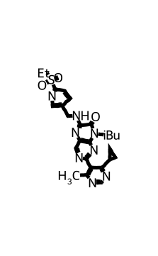 CCC(C)n1c(=O)c(NCc2ccc(S(=O)(=O)CC)nc2)nc2cnc(-c3c(C)ncnc3C3CC3)nc21